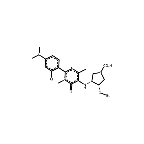 CCO[C@H]1CN(C(=O)O)C[C@H]1Nc1c(C)nc(-c2ccc(N(C)C)cc2Cl)n(C)c1=O